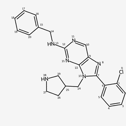 Clc1ccccc1-c1nc2cnc(NCc3ccccc3)nc2n1CC1CCNC1